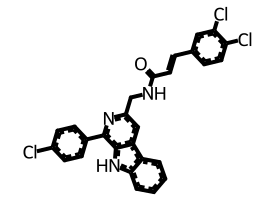 O=C(/C=C/c1ccc(Cl)c(Cl)c1)NCc1cc2c([nH]c3ccccc32)c(-c2ccc(Cl)cc2)n1